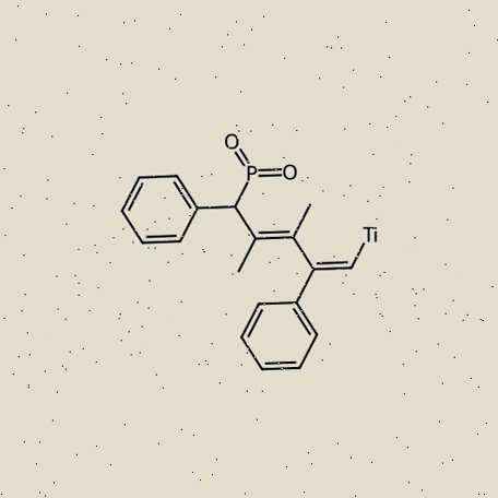 CC(C(=[CH][Ti])c1ccccc1)=C(C)C(c1ccccc1)P(=O)=O